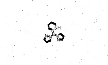 C1=CN[N+](B(n2cccn2)n2cccn2)=CC1